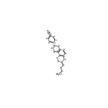 C=CCC[C@H]1CCc2c(ccc3c2CC[C@H](c2ccc(C(F)(F)F)cc2)C3)C1